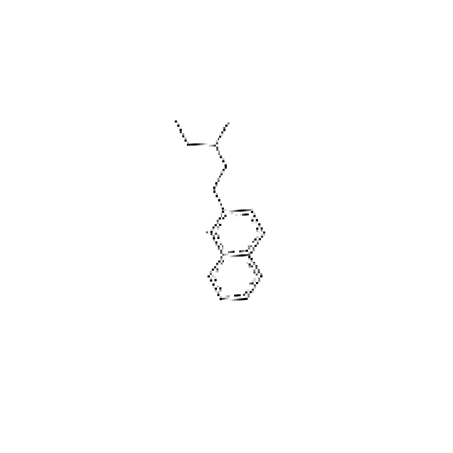 CCC(C)CCc1[c]c2ccccc2cc1